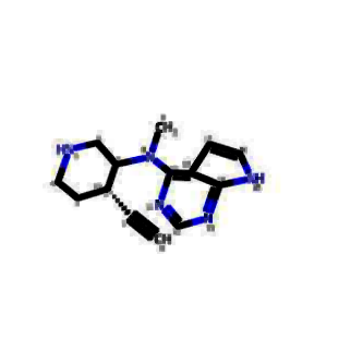 C#C[C@@H]1CCNCC1N(C)c1ncnc2[nH]ccc12